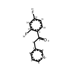 O=C(Cc1cccnc1)c1ccc(F)cc1F